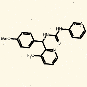 COc1ccc(C(NC(=O)Nc2cccnc2)c2ncccc2C(F)(F)F)cc1